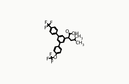 CC(C)CC(C(=O)O)c1cc(-c2ccc(OC(F)(F)F)cc2)cc(-c2ccc(C(F)(F)F)cc2)c1